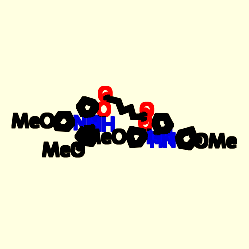 COc1ccc(Nc2cccc(OC(=O)CCCCC(=O)Oc3cccc(Nc4ccc(OC)cc4)c3Nc3ccc(OC)cc3)c2Nc2ccc(OC)cc2)cc1